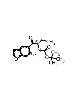 CC[C@H](C(=O)c1ccc2occc2c1)N(C)C(=O)OC(C)(C)C